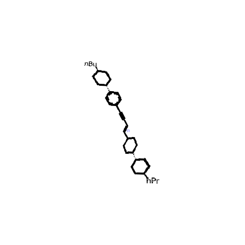 CCCC[C@H]1CC[C@H](c2ccc(C#C/C=C/C3CCC([C@H]4CC[C@H](CCC)CC4)CC3)cc2)CC1